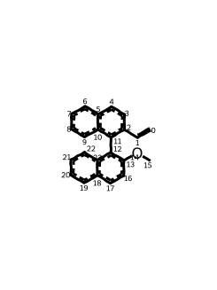 C=Cc1ccc2ccccc2c1-c1c(OC)ccc2ccccc12